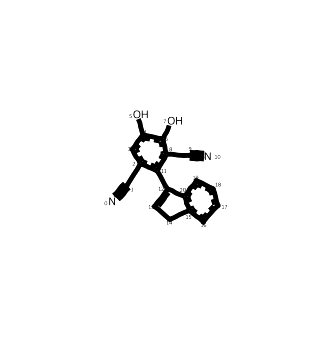 N#Cc1cc(O)c(O)c(C#N)c1C1=CCc2ccccc21